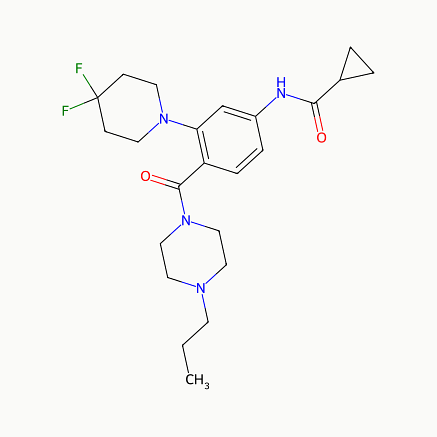 CCCN1CCN(C(=O)c2ccc(NC(=O)C3CC3)cc2N2CCC(F)(F)CC2)CC1